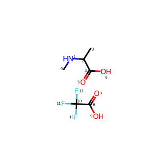 CNC(C)C(=O)O.O=C(O)C(F)(F)F